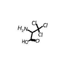 NC(C(=O)O)C(Cl)(Cl)Cl